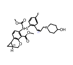 COC(=O)c1c(N(Sc2ccc(F)cc2/C=C\CN2CCC(O)CC2)C(=O)OC)ccc2c1OC[C@@H]1CC21